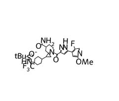 COc1cc(-c2cc(C(=O)N3CCC(C(N)=O)CC34CC4C3CCC(N[S+]([O-])C(C)(C)C)(C(F)(F)F)CC3)n[nH]2)c(F)cn1